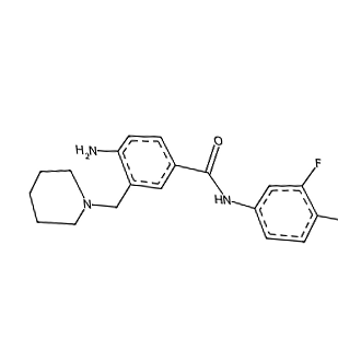 Nc1ccc(C(=O)Nc2ccc(Cl)c(F)c2)cc1CN1CCCCC1